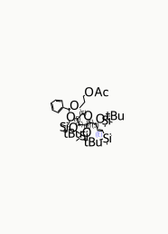 CC(=O)OCCC[C@@H]1O[C@@H]([C@H](/C=C/[Si](C)(C)C)O[Si](C)(C)C(C)(C)C)[C@@H](O[Si](C)(C)C(C)(C)C)[C@@H](O[Si](C)(C)C(C)(C)C)[C@H]1OC(=O)c1ccccc1